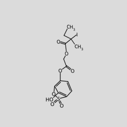 CCC(C)(I)C(=O)OCC(=O)Oc1ccc2c(O)c1OS2(=O)=O